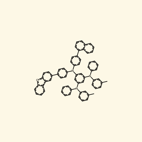 Cc1cccc(N(c2ccccc2)c2cc(N(c3ccc(-c4ccc5oc6ccccc6c5c4)cc3)c3ccc(-c4cccc5ccccc45)cc3)cc(N(c3ccccc3)c3cccc(C)c3)c2)c1